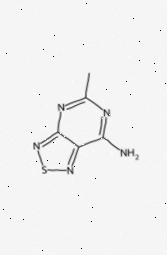 Cc1nc(N)c2nsnc2n1